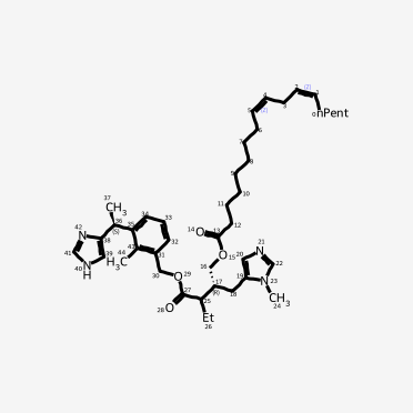 CCCCC/C=C\C/C=C\CCCCCCCC(=O)OC[C@H](Cc1cncn1C)C(CC)C(=O)OCc1cccc([C@H](C)c2c[nH]cn2)c1C